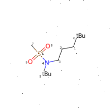 CC(C)(C)CCCN(C(C)(C)C)S(C)(=O)=O